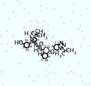 CC(C)c1nnc2ccc(O[C@@H]3CC[C@H](NC(=O)Nc4cc(C(C)(C)C)nn4-c4cccc(O)c4)c4ccccc43)cn12